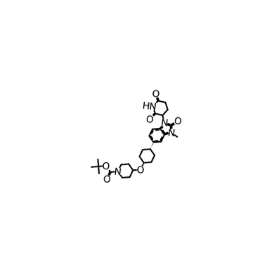 Cn1c(=O)n(C2CCC(=O)NC2=O)c2ccc([C@H]3CC[C@H](OC4CCN(C(=O)OC(C)(C)C)CC4)CC3)cc21